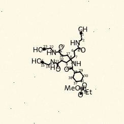 C#CCNC(=O)CCC(CCC(=O)NCC#C)(CCC(=O)NCC#C)NC(=O)[C@H]1CC[C@H](OP(=O)(CC)OC)CC1